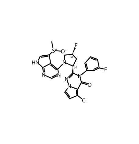 C[S+]([O-])c1c[nH]c2ncnc(N3C[C@@H](F)C[C@H]3c3nn4ccc(Cl)c4c(=O)n3-c3cccc(F)c3)c12